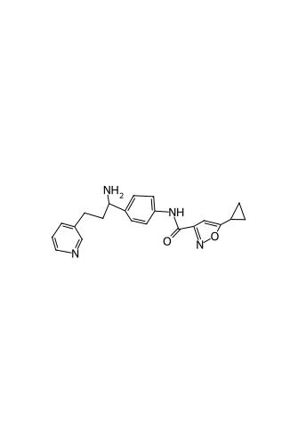 NC(CCc1cccnc1)c1ccc(NC(=O)c2cc(C3CC3)on2)cc1